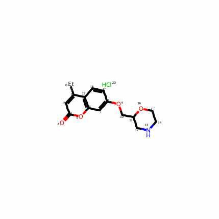 CCc1cc(=O)oc2cc(OCC3CNCCO3)ccc12.Cl